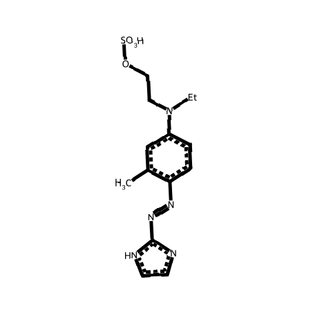 CCN(CCOS(=O)(=O)O)c1ccc(N=Nc2ncc[nH]2)c(C)c1